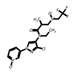 CCN(C(=O)C(C)C[S+]([O-])CC(F)(F)F)c1cn(-c2ccc[n+]([O-])c2)nc1Cl